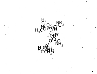 CCc1nc(C)oc1C(=O)N=c1sc2cc(C(N)=O)cnc2n1C/C=C\CNc1c(OCCCO[Si](C)(C)C(C)(C)C)cc(C(N)=O)cc1[N+](=O)[O-]